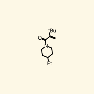 [CH2]CC1CCN(C(=O)C(=C)C(C)(C)C)CC1